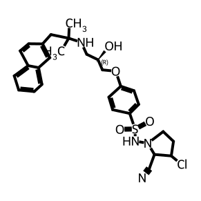 CC(C)(Cc1ccc2ccccc2c1)NC[C@@H](O)COc1ccc(S(=O)(=O)NN2CCC(Cl)C2C#N)cc1